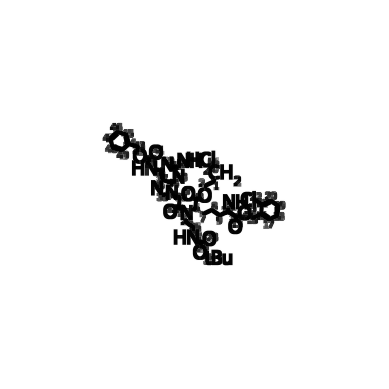 C=CCOC(=O)[C@H](CCCC(N)C(=O)OCc1ccccc1Cl)N(CCNC(=O)OC(C)(C)C)C(=O)Cn1cnc2c(NC(=O)OCc3ccccc3)nc(N)nc21.Cl